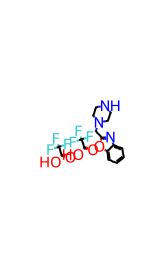 O=C(O)C(F)(F)F.O=C(O)C(F)(F)F.c1ccc2oc(CN3CCNCC3)nc2c1